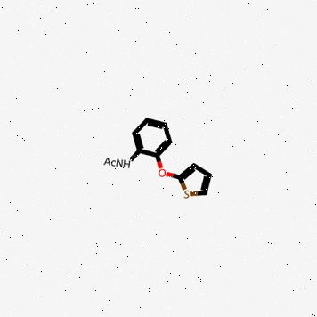 CC(=O)Nc1ccccc1Oc1cccs1